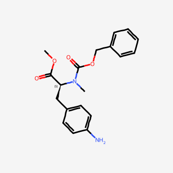 COC(=O)[C@H](Cc1ccc(N)cc1)N(C)C(=O)OCc1ccccc1